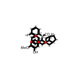 COc1ccc(C(CC2C3CCC2CN(Cc2ccccc2)C3)N(C(=O)O)c2cccc(F)c2)cc1O